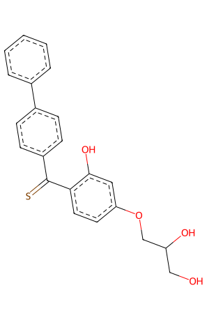 OCC(O)COc1ccc(C(=S)c2ccc(-c3ccccc3)cc2)c(O)c1